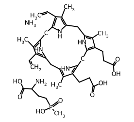 C=Cc1c2[nH]c(c1C)Cc1[nH]c(c(CCC(=O)O)c1C)Cc1[nH]c(c(C)c1CCC(=O)O)Cc1[nH]c(c(C)c1C=C)C2.CP(=O)(O)CCC(N)C(=O)O.N